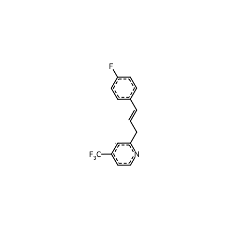 Fc1ccc(C=CCc2[c]c(C(F)(F)F)ccn2)cc1